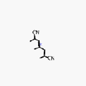 C/C(=C\C(C)C#N)CC(C)C#N